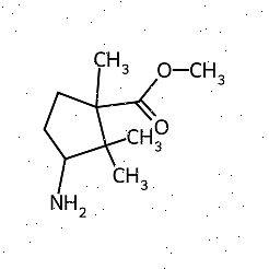 COC(=O)C1(C)CCC(N)C1(C)C